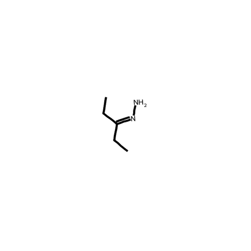 CCC(CC)=NN